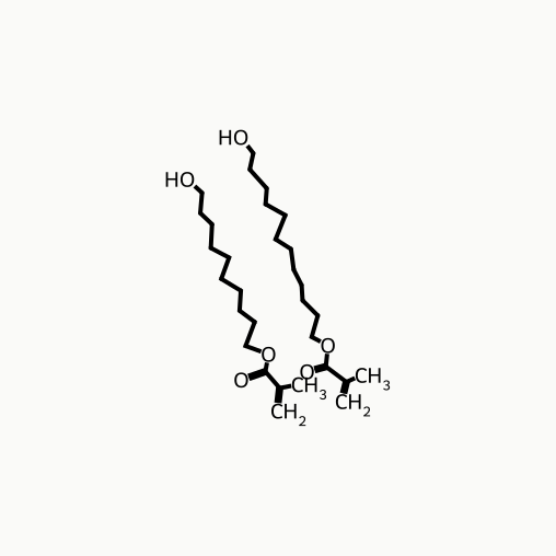 C=C(C)C(=O)OCCCCCCCCCCCCO.C=C(C)C(=O)OCCCCCCCCCCO